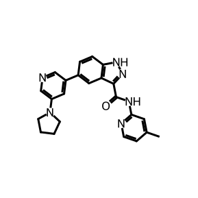 Cc1ccnc(NC(=O)c2n[nH]c3ccc(-c4cncc(N5CCCC5)c4)cc23)c1